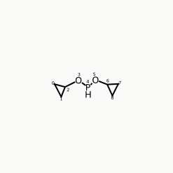 C1CC1OPOC1CC1